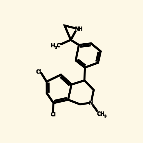 CN1Cc2c(Cl)cc(Cl)cc2C(c2cccc(C3(C)CN3)c2)C1